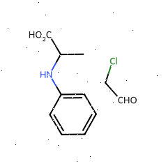 CC(Nc1ccccc1)C(=O)O.O=CCCl